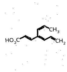 C=C/C=C(\C=C/C)/C=C/C(=O)O